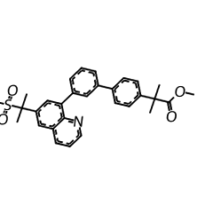 COC(=O)C(C)(C)c1ccc(-c2cccc(-c3cc(C(C)(C)S(C)(=O)=O)cc4cccnc34)c2)cc1